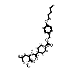 CCCCCOc1ccc(COC(=O)N2CCC(C(=O)NC(CC(C)C)C(=O)OC)CC2)cc1